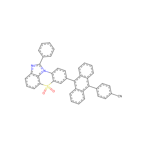 N#Cc1ccc(-c2c3ccccc3c(-c3ccc4c(c3)S(=O)(=O)c3cccc5nc(-c6ccccc6)n-4c35)c3ccccc23)cc1